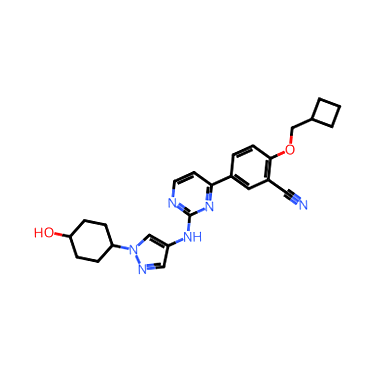 N#Cc1cc(-c2ccnc(Nc3cnn(C4CCC(O)CC4)c3)n2)ccc1OCC1CCC1